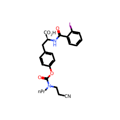 CCCN(CCC#N)C(=O)Oc1ccc(C[C@H](NC(=O)c2ccccc2I)C(=O)O)cc1